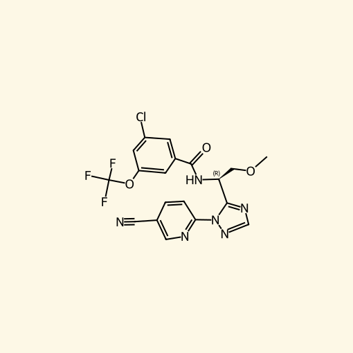 COC[C@H](NC(=O)c1cc(Cl)cc(OC(F)(F)F)c1)c1ncnn1-c1ccc(C#N)cn1